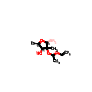 B[C@@H]1O[C@H](CC)[C@H](O)C1(C)OC(C)OCC(F)(F)F